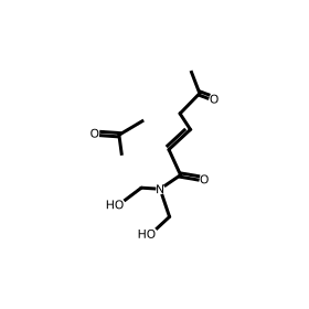 CC(=O)CC=CC(=O)N(CO)CO.CC(C)=O